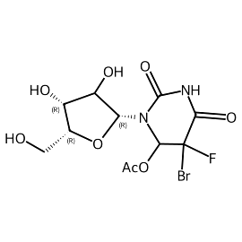 CC(=O)OC1N([C@@H]2O[C@H](CO)[C@H](O)C2O)C(=O)NC(=O)C1(F)Br